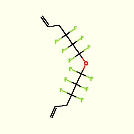 C=CCC(F)(F)C(F)(F)C(F)(F)OC(F)(F)C(F)(F)C(F)(F)CC=C